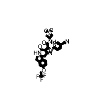 N#Cc1ccc(-n2nc3c(c2C(=O)NC2CS(=O)(=O)C2)C(=O)N[C@@]2(CCc4cc(OCC(F)(F)F)ccc42)C3)nc1